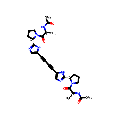 COC(=O)N[C@@H](C)C(=O)N1CCC[C@H]1c1ncc(C#CC#Cc2cnc([C@@H]3CCCN3C(=O)[C@H](C)NC(=O)OC)[nH]2)[nH]1